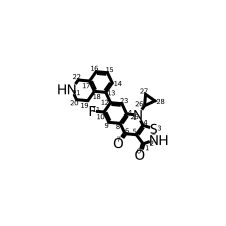 O=c1[nH]sc2c1c(=O)c1cc(F)c(-c3cccc4c3CCNC4)cc1n2C1CC1